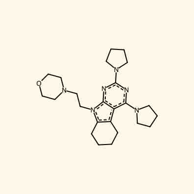 C1CCc2c(c3c(N4CCCC4)nc(N4CCCC4)nc3n2CCN2CCOCC2)C1